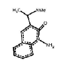 CNC(C)c1cc2ccccc2n(N)c1=O